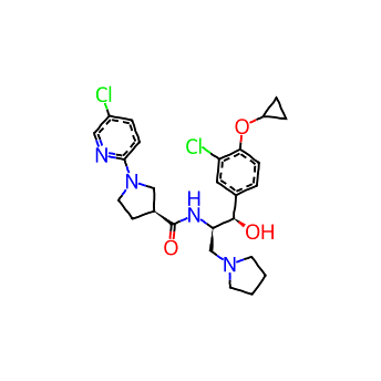 O=C(N[C@H](CN1CCCC1)[C@H](O)c1ccc(OC2CC2)c(Cl)c1)[C@H]1CCN(c2ccc(Cl)cn2)C1